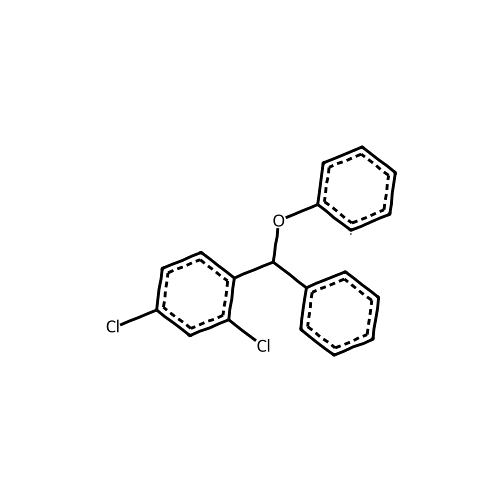 Clc1ccc(C(Oc2[c]cccc2)c2ccccc2)c(Cl)c1